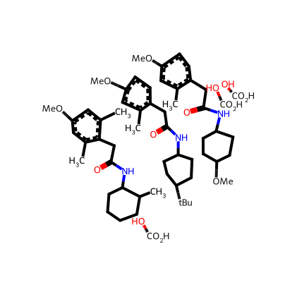 COc1cc(C)c(CC(=O)NC2CCCCC2C)c(C)c1.COc1ccc(CC(=O)NC2CCC(C(C)(C)C)CC2)c(C)c1.COc1ccc(CC(=O)NC2CCC(OC)CC2)c(C)c1.O=C(O)O.O=C(O)O.O=C(O)O